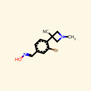 CN1CC(C#N)(c2ccc(/C=N/O)cc2Br)C1